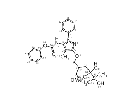 COC[C@@H](COc1nn(-c2ccccc2)c(NC(=O)Oc2ccccc2)c1C)CC(C)(C)[Si](C)(C)O